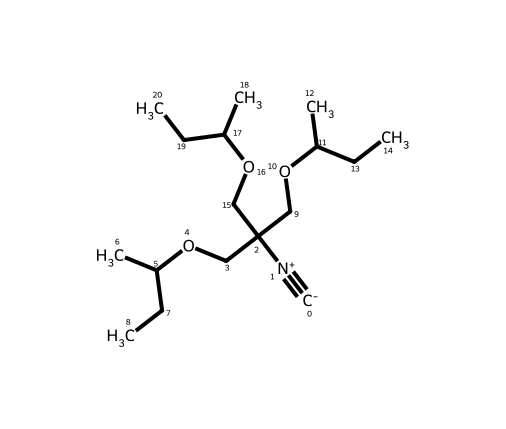 [C-]#[N+]C(COC(C)CC)(COC(C)CC)COC(C)CC